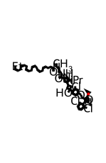 CC/C=C\C/C=C\C/C=C\C/C=C\C/C=C\C/C=C\CCC(=O)N(C)CCNC(=O)c1cc(C2CC(O)(c3ccc(OCc4c(-c5c(Cl)cccc5Cl)noc4C4CC4)cc3Cl)C2)n(C(C)C)n1